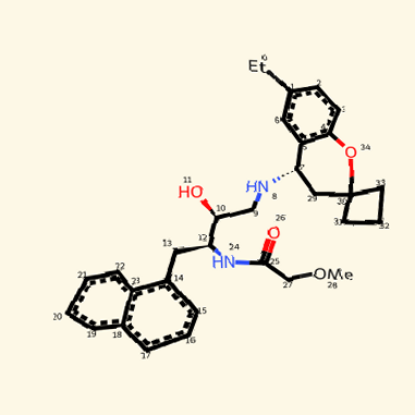 CCc1ccc2c(c1)[C@@H](NC[C@H](O)[C@H](Cc1cccc3ccccc13)NC(=O)COC)CC1(CCC1)O2